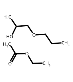 CCCOCC(C)O.CCOC(C)=O